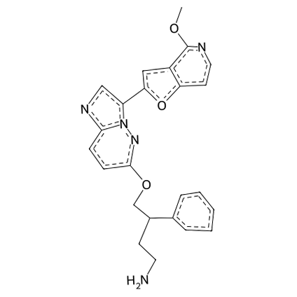 COc1nccc2oc(-c3cnc4ccc(OCC(CCN)c5ccccc5)nn34)cc12